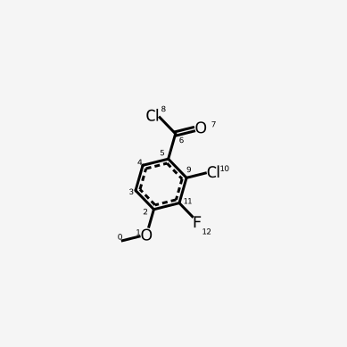 COc1ccc(C(=O)Cl)c(Cl)c1F